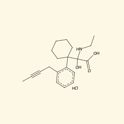 CC#CCc1ccccc1C1(C(O)(NCC)C(=O)O)CCCCC1.Cl